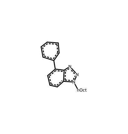 CCCCCCCCn1nnc2c(-c3ccccc3)cccc21